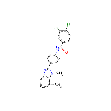 Cc1cccc2nc(-c3ccc(NC(=O)c4ccc(Cl)c(Cl)c4)cc3)n(C)c12